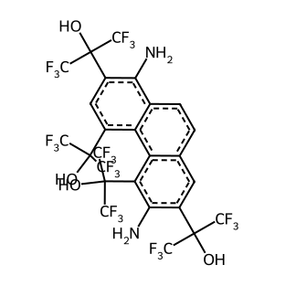 Nc1c(C(O)(C(F)(F)F)C(F)(F)F)cc2ccc3c(N)c(C(O)(C(F)(F)F)C(F)(F)F)cc(C(O)(C(F)(F)F)C(F)(F)F)c3c2c1C(O)(C(F)(F)F)C(F)(F)F